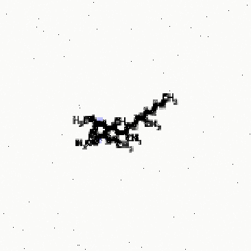 C=C/C(C#N)=C/C(C(=C)CC(C)CCCC(=C)CCCCC)C(=C\CC)/C=C/C